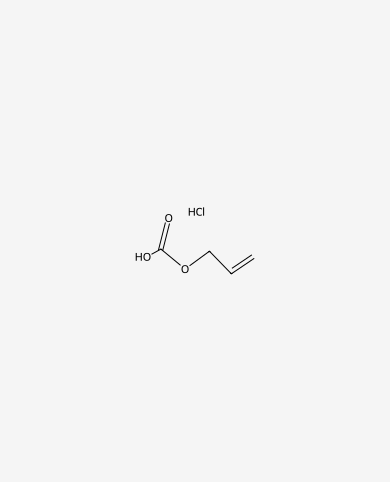 C=CCOC(=O)O.Cl